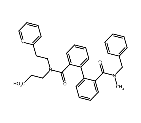 CN(Cc1ccccc1)C(=O)c1ccccc1-c1ccccc1C(=O)N(CCC(=O)O)CCc1ccccn1